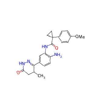 COc1ccc(C2(C(=O)Nc3cc(C4=NNC(=O)CC4C)ccc3N)CC2)cc1